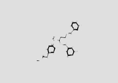 COC(=O)Cc1ccc([S+]([O-])C(CCOCc2ccccc2)OCc2ccccc2)cc1